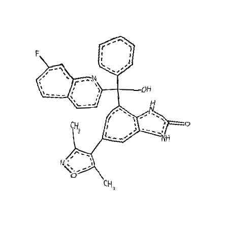 Cc1noc(C)c1-c1cc(C(O)(c2ccccc2)c2ccc3ccc(F)cc3n2)c2[nH]c(=O)[nH]c2c1